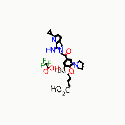 CC(C)(C)c1cc(C(=O)CN2Cc3ccc(C4CC4)nc3C2=N)cc(N2CCCC2)c1OCCCCC(=O)O.O=C(O)C(F)(F)F